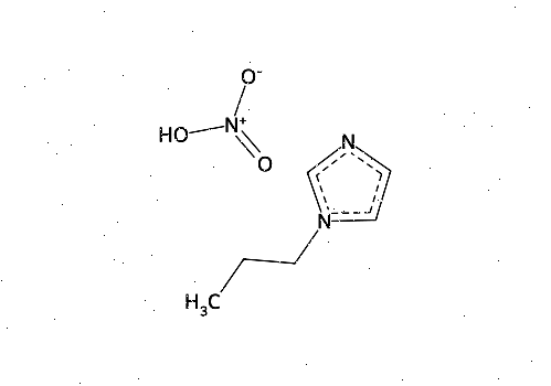 CCCn1ccnc1.O=[N+]([O-])O